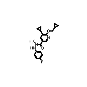 CN(Nc1ccc(F)cc1)C(=O)c1cnc(OCC2CC2)c(C2CC2)c1